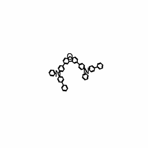 C1=CC2Oc3ccc(-c4ccc(N(c5ccccc5)c5ccc(-c6ccccc6)cc5)cc4)cc3C2C=C1c1ccc(N(c2ccccc2)c2ccc(-c3ccccc3)cc2)cc1